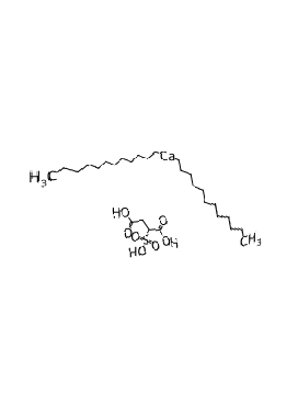 CCCCCCCCCCC[CH2][Ca][CH2]CCCCCCCCCCC.O=C(O)CC(C(=O)O)S(=O)(=O)O